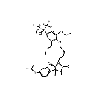 CCCc1cc(C(O)(C(F)(F)F)C(F)(F)F)cc(CCC)c1OC/C=C\CN1C(=O)NC(C)(c2ccc(OC(C)C)cc2)C1=O